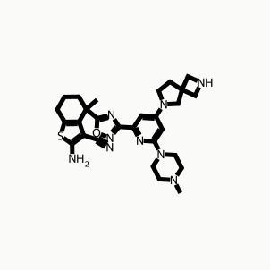 CN1CCN(c2cc(N3CCC4(CNC4)C3)cc(-c3noc(C4(C)CCCc5sc(N)c(C#N)c54)n3)n2)CC1